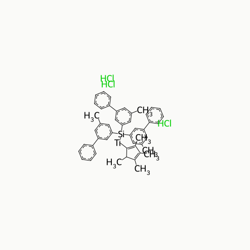 CC1=C(C)C(C)[C]([Ti][Si](c2cc(C)cc(-c3ccccc3)c2)(c2cc(C)cc(-c3ccccc3)c2)c2cc(C)cc(-c3ccccc3)c2)=C1C.Cl.Cl.Cl